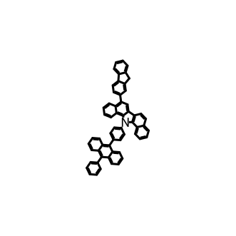 c1ccc(-c2c3ccccc3c(-c3ccc(-n4c5c6ccccc6ccc5c5cc(-c6ccc7c(c6)Cc6ccccc6-7)c6ccccc6c54)cc3)c3ccccc23)cc1